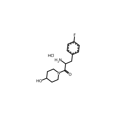 Cl.NC(Cc1ccc(F)cc1)C(=O)N1CCC(O)CC1